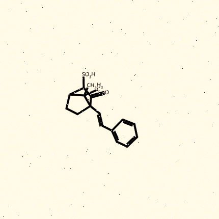 CC1(C)C2CCC1(C=Cc1ccccc1)C(=O)C2S(=O)(=O)O